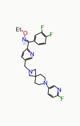 CCO/N=C(\c1ccc(F)c(F)c1)c1ccc(CN2CC3(CCN(c4ccc(F)nc4)CC3)C2)cn1